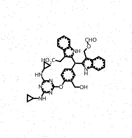 O=COCc1c(C(c2ccc(Oc3nc(NC4CC4)nc(NC4CC4)n3)c(CO)c2)c2[nH]c3ccccc3c2CC(=O)O)[nH]c2ccccc12